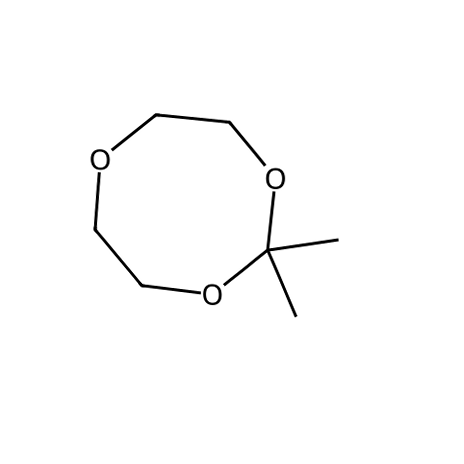 CC1(C)OCCOCCO1